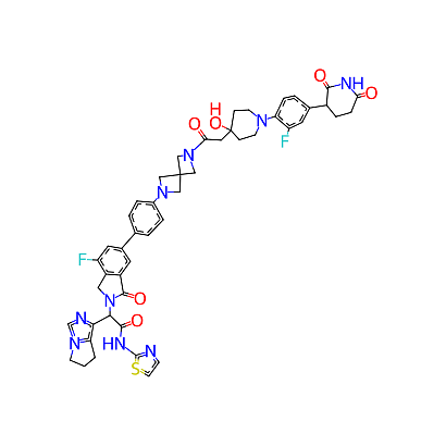 O=C1CCC(c2ccc(N3CCC(O)(CC(=O)N4CC5(C4)CN(c4ccc(-c6cc(F)c7c(c6)C(=O)N(C(C(=O)Nc6nccs6)c6ncn8c6CCC8)C7)cc4)C5)CC3)c(F)c2)C(=O)N1